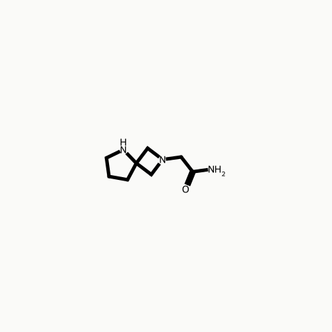 NC(=O)CN1CC2(CCCN2)C1